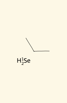 CCC.[1SeH2]